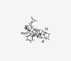 COC(=O)c1cnc(N2[C@@H]3CC[C@H]2C[C@H](OCc2c(-c4ccccc4OC(F)(F)F)noc2C2CC2)C3)cn1